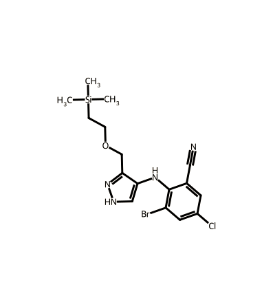 C[Si](C)(C)CCOCc1n[nH]cc1Nc1c(Br)cc(Cl)cc1C#N